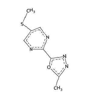 CSc1cnc(-c2nnc(C)o2)nc1